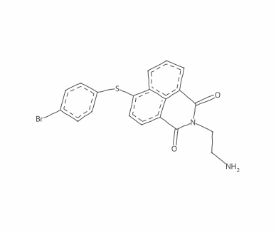 NCCN1C(=O)c2cccc3c(Sc4ccc(Br)cc4)ccc(c23)C1=O